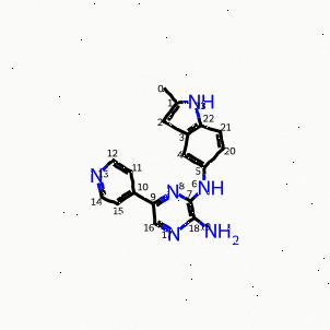 Cc1cc2cc(Nc3nc(-c4ccncc4)cnc3N)ccc2[nH]1